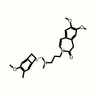 COc1cc2c(cc1C)[C@@H](CN(C)CCCN1C=Cc3cc(OC)c(OC)cc3CC1=O)C2